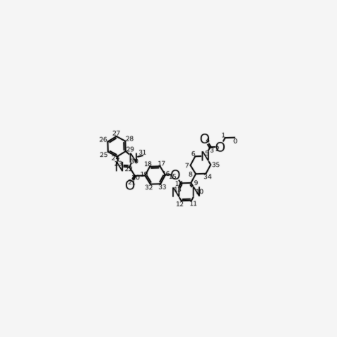 CCOC(=O)N1CCC(c2nccnc2Oc2ccc(C(=O)c3nc4ccccc4n3C)cc2)CC1